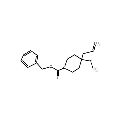 C=CCC1(OC)CCN(C(=O)OCc2ccccc2)CC1